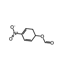 O=COC1C=CC([N+](=O)[O-])=CC1